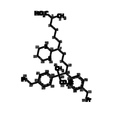 CCOC(=O)C(C)CCCCC(CCCC(c1ccc(CC(C)C)cc1)C(C)(C(=O)OCC)c1ccc(CC(C)C)cc1)C1SCCCS1